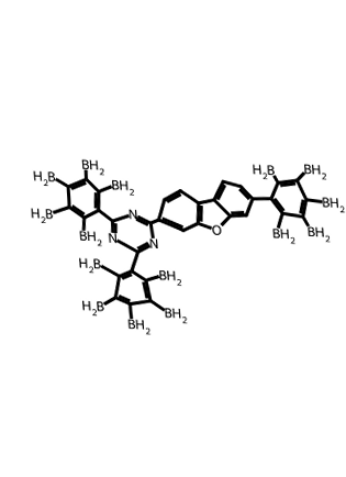 Bc1c(B)c(B)c(-c2ccc3c(c2)oc2cc(-c4nc(-c5c(B)c(B)c(B)c(B)c5B)nc(-c5c(B)c(B)c(B)c(B)c5B)n4)ccc23)c(B)c1B